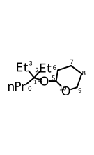 [CH2]CCC(CC)(CC)OC1CCCCO1